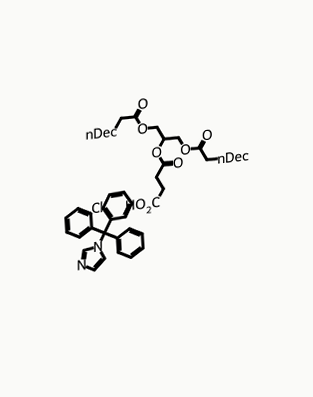 CCCCCCCCCCCC(=O)OCC(COC(=O)CCCCCCCCCCC)OC(=O)CCC(=O)O.Clc1ccccc1C(c1ccccc1)(c1ccccc1)n1ccnc1